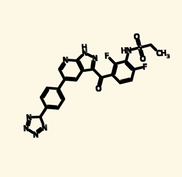 CCS(=O)(=O)Nc1c(F)ccc(C(=O)c2n[nH]c3ncc(-c4ccc(C5N=NN=N5)cc4)cc23)c1F